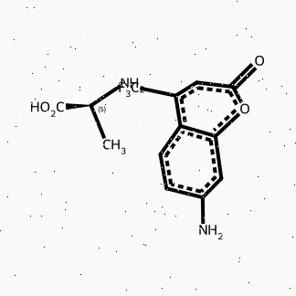 C[C@H](N)C(=O)O.Nc1ccc2c(C(F)(F)F)cc(=O)oc2c1